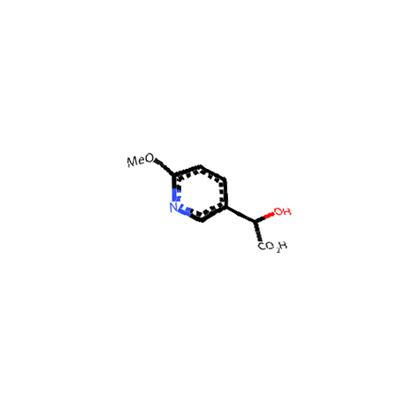 COc1ccc(C(O)C(=O)O)cn1